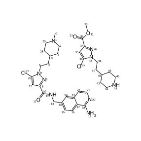 CN1CCC(CCn2nc(C(=O)NCc3ccc4c(N)nccc4c3)cc2Cl)CC1.COC(=O)c1cc(Cl)n(CCC2CCNCC2)n1